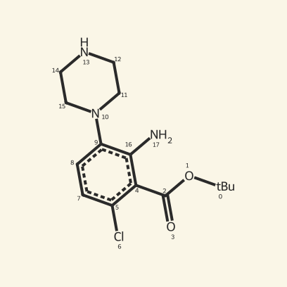 CC(C)(C)OC(=O)c1c(Cl)ccc(N2CCNCC2)c1N